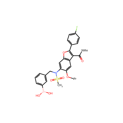 CNC(=O)c1c(-c2ccc(F)cc2)oc2cc(N(Cc3cccc(B(O)O)c3)S(C)(=O)=O)c(OC(C)C)cc12